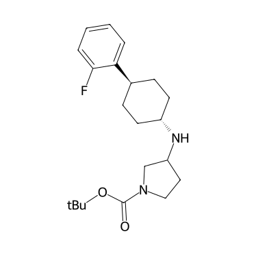 CC(C)(C)OC(=O)N1CCC(N[C@H]2CC[C@H](c3ccccc3F)CC2)C1